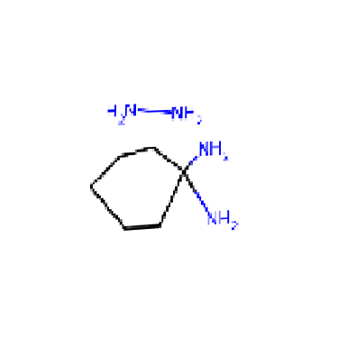 NC1(N)CCCCC1.NN